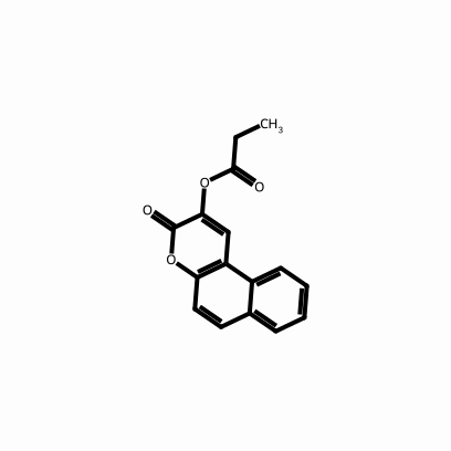 CCC(=O)Oc1cc2c(ccc3ccccc32)oc1=O